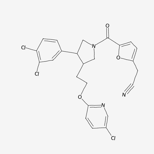 N#CCc1ccc(C(=O)N2CC(CCOc3ccc(Cl)cn3)C(c3ccc(Cl)c(Cl)c3)C2)o1